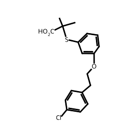 CC(C)(Sc1cccc(OCCc2ccc(Cl)cc2)c1)C(=O)O